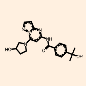 CC(C)(O)c1ccc(C(=O)Nc2cc(N3CCC(O)C3)n3nccc3n2)cc1